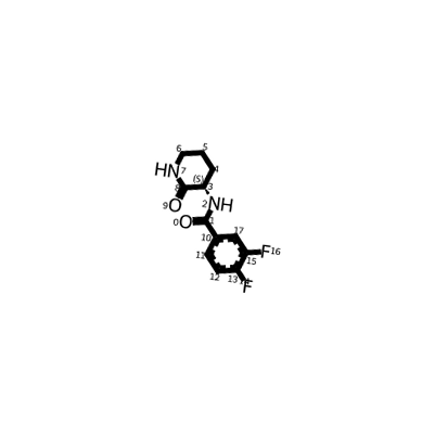 O=C(N[C@H]1CCCNC1=O)c1ccc(F)c(F)c1